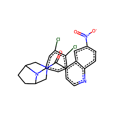 O=C(c1ccnc2ccc([N+](=O)[O-])cc12)N1CC2CCC(C1)N2c1ccc(Cl)c(Cl)c1